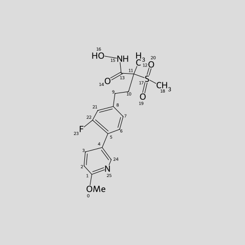 COc1ccc(-c2ccc(CCC(C)(C(=O)NO)S(C)(=O)=O)cc2F)cn1